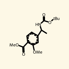 COC(=O)c1ccc(C(C)NC(=O)OC(C)(C)C)cc1OC